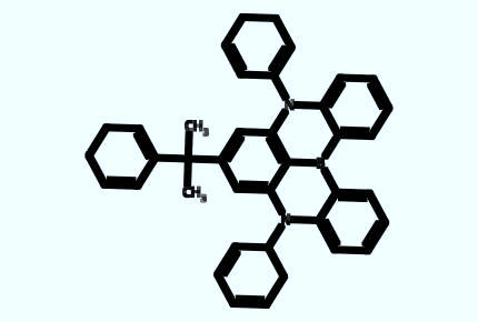 CC(C)(C1=CCCC=C1)c1cc2c3c(c1)N(C1C=CC=CC1)c1ccccc1B3c1ccccc1N2C1=CCCC=C1